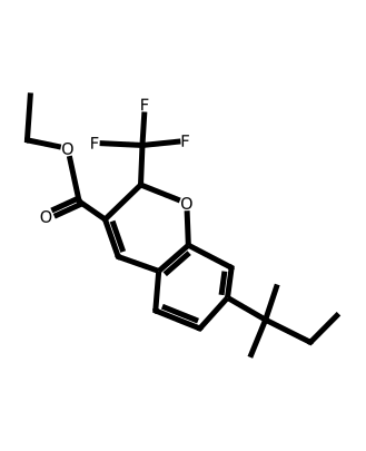 CCOC(=O)C1=Cc2ccc(C(C)(C)CC)cc2OC1C(F)(F)F